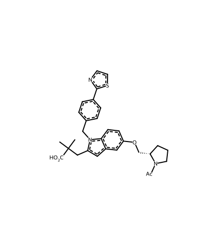 CC(=O)N1CCC[C@H]1COc1ccc2c(c1)cc(CC(C)(C)C(=O)O)n2Cc1ccc(-c2nccs2)cc1